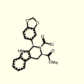 CCC(=O)N1[C@H](c2ccc3c(c2)OCO3)c2[nH]c3ccccc3c2C[C@@H]1C(=O)OC